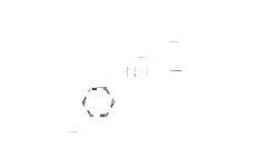 CCOC(CNCc1ccc(OC)cc1)OCC